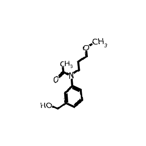 COCCCN(C(C)=O)c1cccc(CO)c1